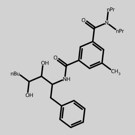 CCCCC(O)C(O)C(Cc1ccccc1)NC(=O)c1cc(C)cc(C(=O)N(CCC)CCC)c1